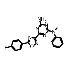 CN(c1ccccc1)c1nc(N)nc(-c2noc(-c3ccc(F)cc3)n2)n1